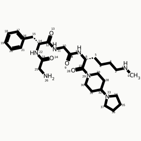 CNCCCC[C@@H](NC(=O)CNC(=O)[C@@H](Cc1ccccc1)NC(=O)CN)C(=O)N1CCC(N2CCCC2)CC1